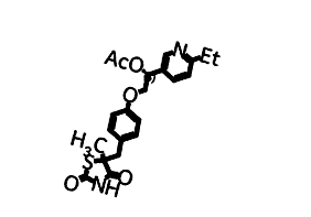 CCc1ccc([C@@H](COc2ccc(CC3(C)SC(=O)NC3=O)cc2)OC(C)=O)cn1